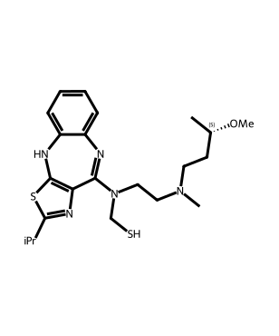 CO[C@@H](C)CCN(C)CCN(CS)C1=Nc2ccccc2Nc2sc(C(C)C)nc21